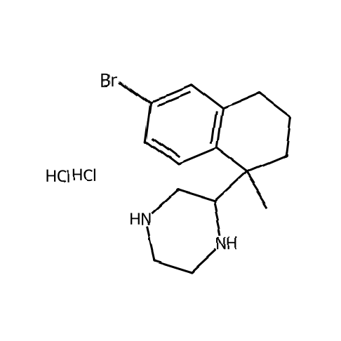 CC1(C2CNCCN2)CCCc2cc(Br)ccc21.Cl.Cl